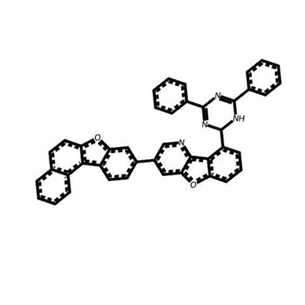 c1ccc(C2=NC(c3cccc4oc5cc(-c6ccc7c(c6)oc6ccc8ccccc8c67)cnc5c34)NC(c3ccccc3)=N2)cc1